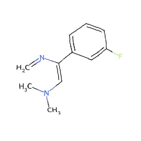 C=N/C(=C\N(C)C)c1cccc(F)c1